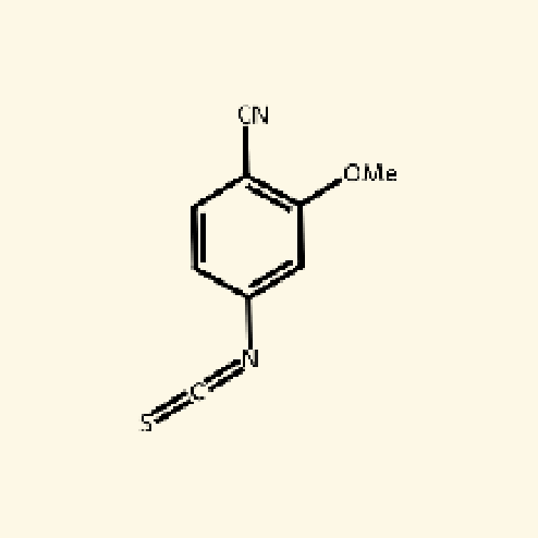 COc1cc(N=C=S)ccc1C#N